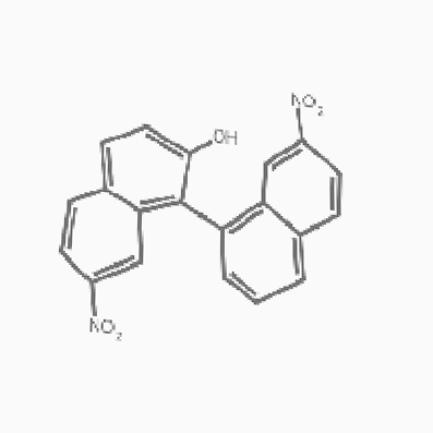 O=[N+]([O-])c1ccc2cccc(-c3c(O)ccc4ccc([N+](=O)[O-])cc34)c2c1